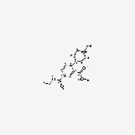 CCOC(=O)N1C=CC(c2ccc(F)cc2)C(C(=O)OC)=C1